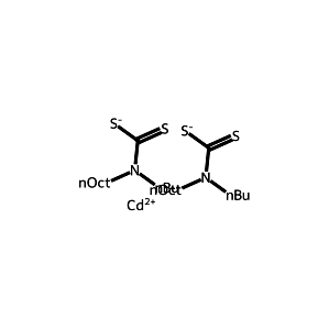 CCCCCCCCN(CCCC)C(=S)[S-].CCCCCCCCN(CCCC)C(=S)[S-].[Cd+2]